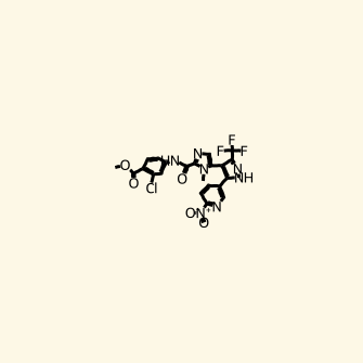 COC(=O)c1ccc(NC(=O)c2ncc(-c3c(C(F)(F)F)n[nH]c3-c3ccc([N+](=O)[O-])nc3)n2C)cc1Cl